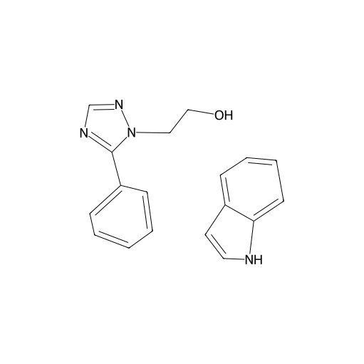 OCCn1ncnc1-c1ccccc1.c1ccc2[nH]ccc2c1